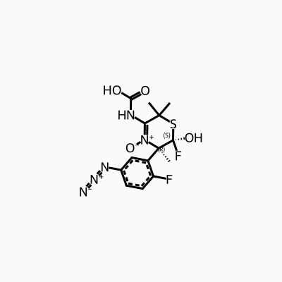 CC1(C)S[C@@](O)(F)[C@@](C)(c2cc(N=[N+]=[N-])ccc2F)[N+]([O-])=C1NC(=O)O